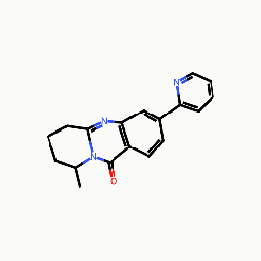 CC1CCCc2nc3cc(-c4ccccn4)ccc3c(=O)n21